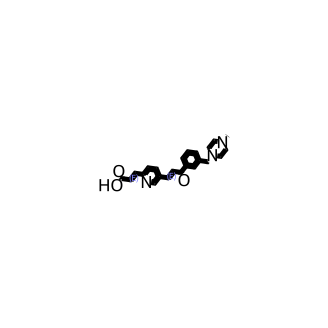 CN1CCN(Cc2cccc(C(=O)/C=C/c3ccc(/C=C/C(=O)O)nc3)c2)CC1